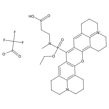 CCOP(=O)(C1=c2cc3c4c(c2Oc2c1cc1c5c2CCCN5CCC1)CCC[N+]=4CCC3)N(C)CCC(=O)O.O=C([O-])C(F)(F)F